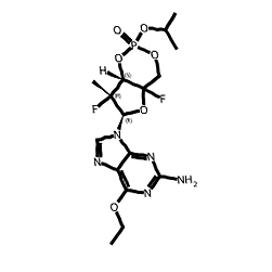 CCOc1nc(N)nc2c1ncn2[C@@H]1OC2(F)COP(=O)(OC(C)C)O[C@H]2[C@@]1(C)F